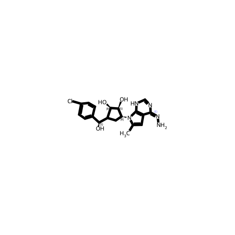 Cc1cc2/c(=N\N)nc[nH]c2n1[C@@H]1CC([C@H](O)c2ccc(Cl)cc2)[C@@H](O)[C@H]1O